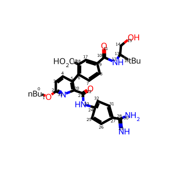 CCCCOc1ccc(-c2ccc(C(=O)NC(CO)C(C)(C)C)cc2C(=O)O)c(C(=O)Nc2ccc(C(=N)N)cc2)n1